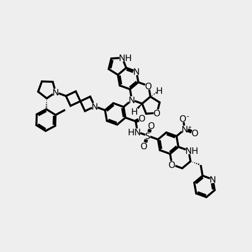 Cc1ccccc1[C@@H]1CCCN1C1CC2(C1)CN(c1ccc(C(=O)NS(=O)(=O)c3cc4c(c([N+](=O)[O-])c3)N[C@H](Cc3ccccn3)CO4)c(N3c4cc5cc[nH]c5nc4O[C@H]4COC[C@@H]43)c1)C2